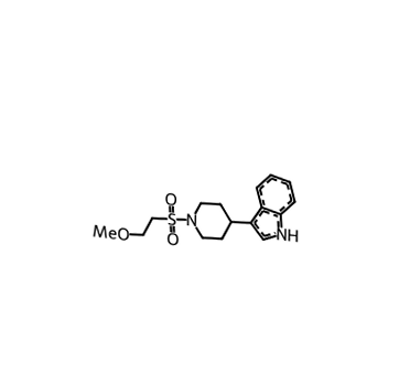 COCCS(=O)(=O)N1CCC(c2c[nH]c3ccccc23)CC1